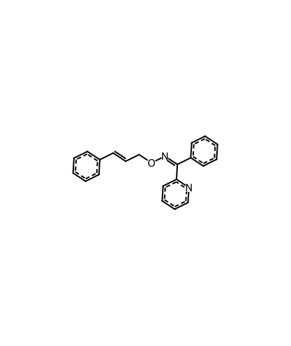 C(=Cc1ccccc1)CON=C(c1ccccc1)c1ccccn1